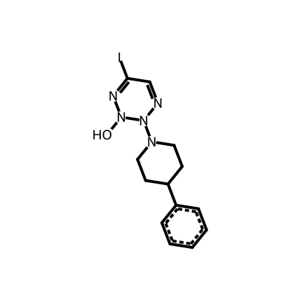 ON1N=C(I)C=NN1N1CCC(c2ccccc2)CC1